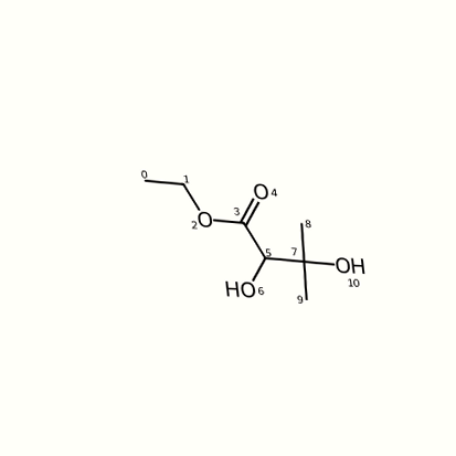 CCOC(=O)C(O)C(C)(C)O